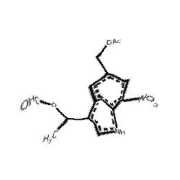 CC(=O)OCc1cc([N+](=O)[O-])c2[nH]cc(C(C)OC=O)c2c1